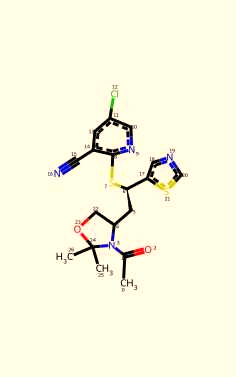 CC(=O)N1C(C[C@@H](Sc2ncc(Cl)cc2C#N)c2cncs2)COC1(C)C